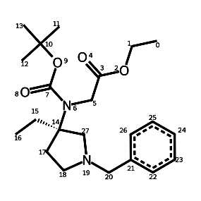 CCOC(=O)CN(C(=O)OC(C)(C)C)[C@]1(CC)CCN(Cc2ccccc2)C1